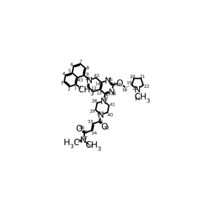 Cc1cccc2cccc(N3CCc4c(nc(OC[C@@H]5CCCN5C)nc4N4CCN(C(=O)/C=C/C(=O)N(C)C)CC4)C3)c12